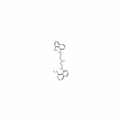 NC1=c2c(NCCNCCNc3cccc4cccc(N)c34)cccc2=CCC1